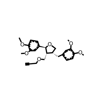 C#CCOC[C@H]1[C@@H](Cc2ccc(OC)c(OC)c2)CO[C@@H]1c1ccc(OC)c(OC)c1